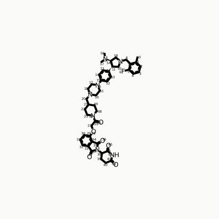 Cc1cccc(F)c1CN1C[C@H](c2ccc(N3CCN(CC4CCN(C(=O)COc5cccc6c5C(=O)N(C5CCC(=O)NC5=O)C6=O)CC4)CC3)cc2)[C@@H](N(C)C)C1